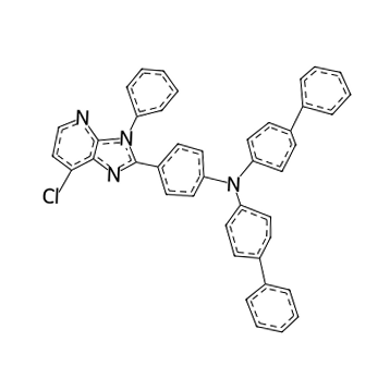 Clc1ccnc2c1nc(-c1ccc(N(c3ccc(-c4ccccc4)cc3)c3ccc(-c4ccccc4)cc3)cc1)n2-c1ccccc1